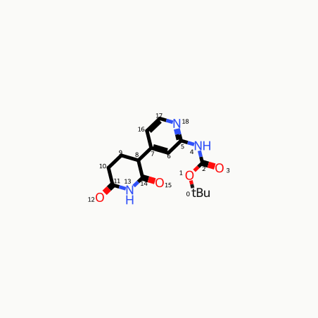 CC(C)(C)OC(=O)Nc1cc(C2CCC(=O)NC2=O)ccn1